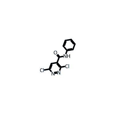 O=C(Nc1ccccc1)c1cc(Cl)nnc1Cl